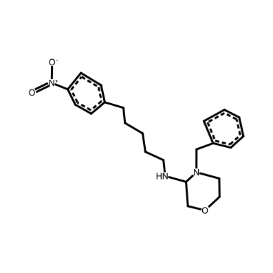 O=[N+]([O-])c1ccc(CCCCCNC2COCCN2Cc2ccccc2)cc1